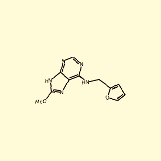 COc1nc2c(NCc3ccco3)ncnc2[nH]1